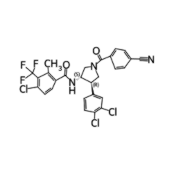 Cc1c(C(=O)N[C@@H]2CN(C(=O)c3ccc(C#N)cc3)C[C@H]2c2ccc(Cl)c(Cl)c2)ccc(Cl)c1C(F)(F)F